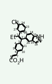 CCC(=C(c1ccc(C=CC(=O)O)cc1)c1ccc2[nH]ncc2c1)c1cccc(Cl)c1